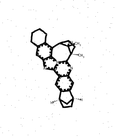 CC1(C)C2CC[C@@]1(C)c1nc3cc4c(cc3c3nc5cc6c(c2c5n13)CCCC6)[C@@H]1CC[C@H]4C1